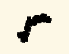 CC1(C)c2cc(-c3cccc(-c4ccc(-c5ccc6c(c5)c5ccccc5c5nccnc65)cc4)c3)ccc2-c2ccc(-c3cccc4c3oc3ccccc34)cc21